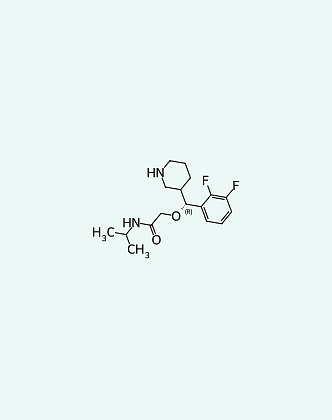 CC(C)NC(=O)CO[C@@H](c1cccc(F)c1F)C1CCCNC1